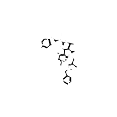 CC1=C(C(=O)NCc2cnn(Cc3ccccc3)c2)C(c2ccc(C)cc2Cl)N=C(Nc2nc3ccc(F)cc3o2)N1